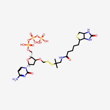 CC(C)(CNC(=O)CCCCC1SCC2NC(=O)NC21)SSCOC1C[C@H](n2ccc(N)nc2=O)O[C@@H]1COP(=O)(O)OP(=O)(O)OP(=O)(O)O